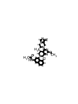 COc1nc2c(c(N3Cc4c(F)ncn4CC3C)n1)CCN(c1cc(NC(C)=O)cc3cccc(Cl)c13)C2